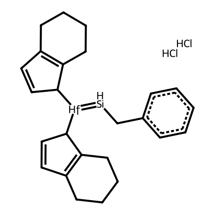 C1=C[CH]([Hf](=[SiH]Cc2ccccc2)[CH]2C=CC3=C2CCCC3)C2=C1CCCC2.Cl.Cl